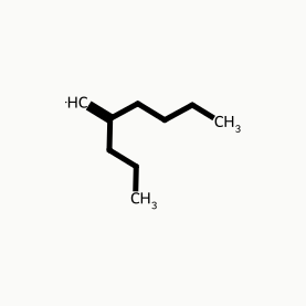 [CH]=C(CCC)CCCC